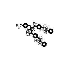 CC[C@@H](c1ccc(C(=O)NS(=O)(=O)c2ccccc2)cc1)c1sc([C@@H](CC)c2ccc(C(=O)NS(=O)(=O)c3ccccc3)cc2)c(C(N)=O)c1Cc1ccc(C(F)(F)F)cc1